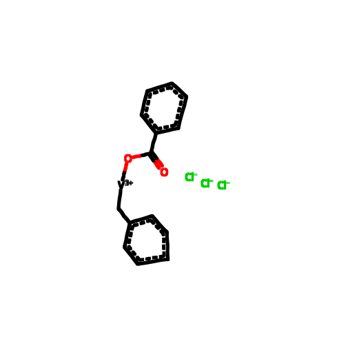 O=C([O][V+3][CH2]c1ccccc1)c1ccccc1.[Cl-].[Cl-].[Cl-]